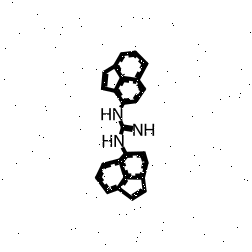 N=C(Nc1ccc2cccc3c2c1C=C3)Nc1ccc2c3c(cccc13)C=C2